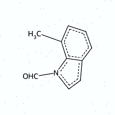 Cc1cccc2ccn(C=O)c12